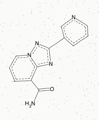 NC(=O)c1[c]ccn2nc(-c3cccnc3)nc12